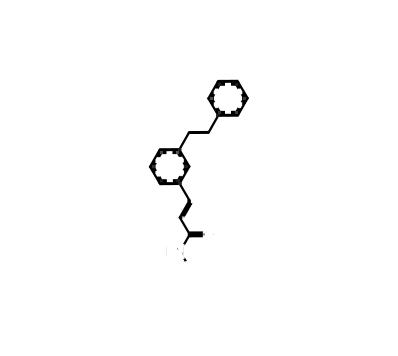 O=C(/C=C/c1cccc(CCc2ccccc2)c1)NO